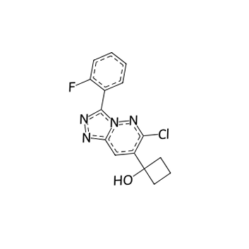 OC1(c2cc3nnc(-c4ccccc4F)n3nc2Cl)CCC1